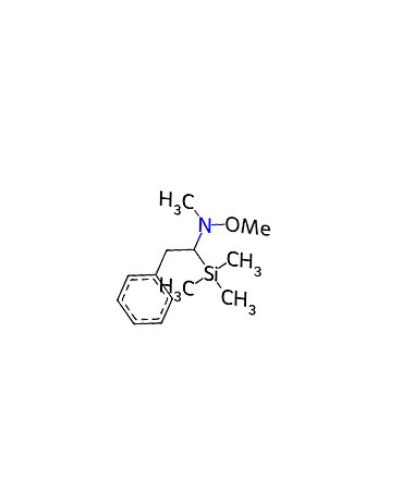 CON(C)C(Cc1ccccc1)[Si](C)(C)C